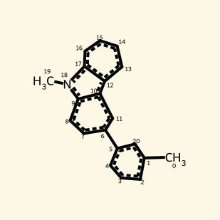 Cc1cccc(-c2ccc3c(c2)c2ccccc2n3C)c1